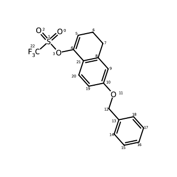 O=S(=O)(OC1=CCCc2cc(OCc3ccccc3)ccc21)C(F)(F)F